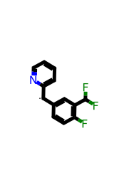 Fc1ccc([CH]c2ccccn2)cc1C(F)F